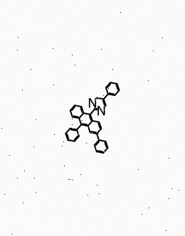 c1ccc(-c2cnc(-c3c4ccccc4c(-c4ccccc4)c4cc(-c5ccccc5)ccc34)nc2)cc1